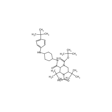 CC(C)(C)OC(=O)N1CC(C(C)(C)C)N(C(=O)O)C(C(C)(C)C)C1C(=O)NC1CCC(Nc2ccc(C(C)(C)C)cc2)CC1